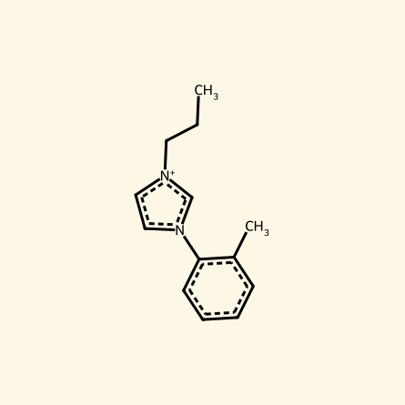 CCC[n+]1ccn(-c2ccccc2C)c1